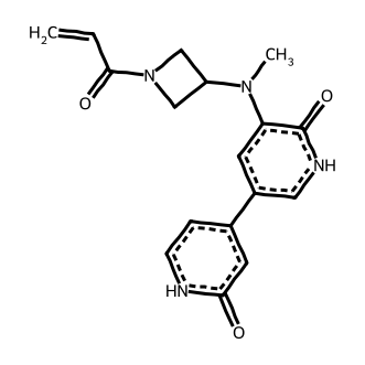 C=CC(=O)N1CC(N(C)c2cc(-c3cc[nH]c(=O)c3)c[nH]c2=O)C1